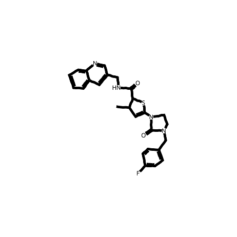 CC1C=C(N2CCN(Cc3ccc(F)cc3)C2=O)SC1C(=O)NCc1cnc2ccccc2c1